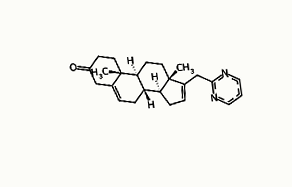 C[C@]12CCC(=O)CC1=CC[C@@H]1[C@@H]2CC[C@]2(C)C(Cc3ncccn3)=CC[C@@H]12